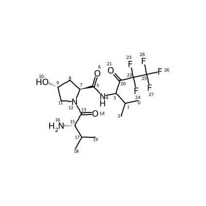 CC(C)C(NC(=O)[C@@H]1C[C@@H](O)CN1C(=O)[C@@H](N)C(C)C)C(=O)C(F)(F)C(F)(F)F